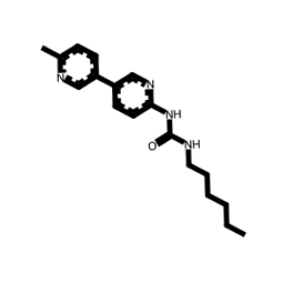 CCCCCCNC(=O)Nc1ccc(-c2ccc(C)nc2)cn1